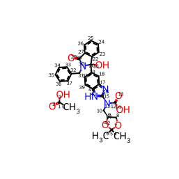 CC(=O)O.CC1(C)OC[C@H](CN(C(=O)O)c2nc3cc(C4(O)c5ccccc5C(=O)N4Cc4ccccc4)ccc3[nH]2)O1